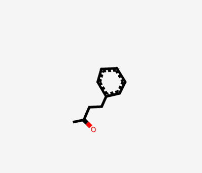 CC(=O)CCc1cc[c]cc1